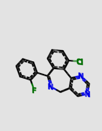 Fc1ccccc1C1=NCc2cncnc2-c2c(Cl)cccc21